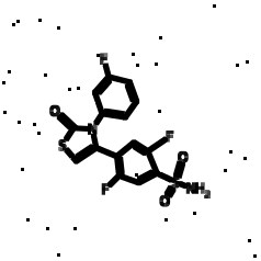 NS(=O)(=O)c1cc(F)c(-c2csc(=O)n2-c2cccc(F)c2)cc1F